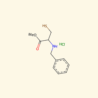 COC(=O)C(CS)NCc1ccccc1.Cl